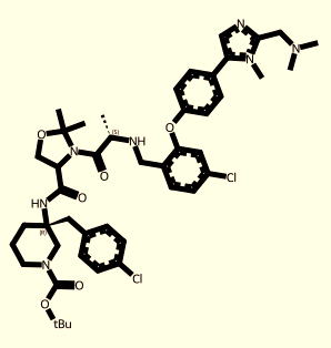 C[C@H](NCc1ccc(Cl)cc1Oc1ccc(-c2cnc(CN(C)C)n2C)cc1)C(=O)N1C(C(=O)N[C@@]2(Cc3ccc(Cl)cc3)CCCN(C(=O)OC(C)(C)C)C2)COC1(C)C